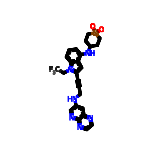 O=S1(=O)CCC(Nc2cccc3c2cc(C#CCNc2cnc4nccnc4c2)n3CC(F)(F)F)CC1